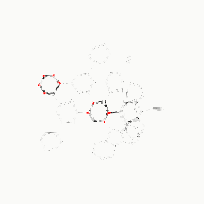 N#Cc1ccc(-c2cc(-c3nc(-c4ccccc4)nc(-c4ccccc4)n3)ccc2-n2c3ccccc3c3ccccc32)c(-c2cc(C#N)ccc2-c2cc(-c3nc(-c4ccccc4)nc(-c4ccccc4)n3)ccc2-n2c3ccccc3c3ccccc32)c1